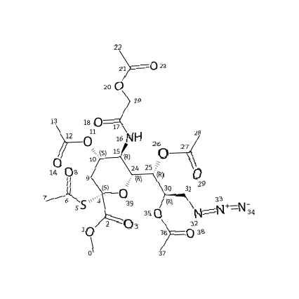 COC(=O)[C@@]1(SC(C)=O)C[C@H](OC(C)=O)[C@@H](NC(=O)COC(C)=O)[C@H]([C@H](OC(C)=O)[C@@H](CN=[N+]=[N-])OC(C)=O)O1